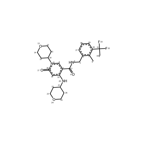 Cc1c(CNC(=O)c2cn(C3CCOCC3)c(=O)cc2NC2CCOCC2)cccc1C(F)(F)F